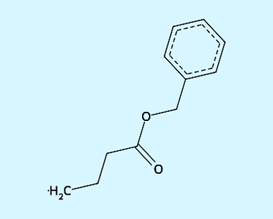 [CH2]CCC(=O)OCc1ccccc1